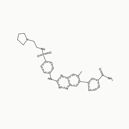 Cc1cc2nc(Nc3ccc(S(=O)(=O)NCCN4CCCC4)cc3)nnc2cc1-c1cccc(C(N)=O)c1